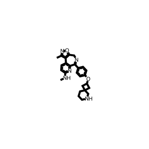 CNc1ccc2c(n1)C(c1ccc(OC3CC4(CCCNC4)C3)cc1)=NCc1onc(C)c1-2